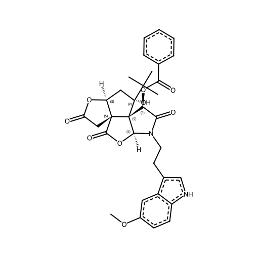 COc1ccc2[nH]cc(CCN3C(=O)[C@H](OC(=O)c4ccccc4)[C@@]45[C@@H]3OC(=O)[C@@]43CC(=O)O[C@H]3C[C@@]5(O)C(C)(C)C)c2c1